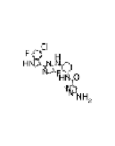 Cn1nc(N)cc1C(=O)N[C@@H]1CCC[C@H](Nc2nc(-c3c[nH]c4c(F)cc(Cl)cc34)ncc2F)C1